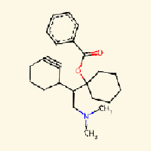 CN(C)CC(C1C#CCCC1)C1(OC(=O)c2ccccc2)CCCCC1